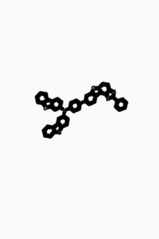 c1ccc(-c2nc3c(ccc4oc5cc(-c6ccc(N(c7ccc8c(c7)oc7ccccc78)c7ccc8sc9ccccc9c8c7)cc6)ccc5c43)s2)cc1